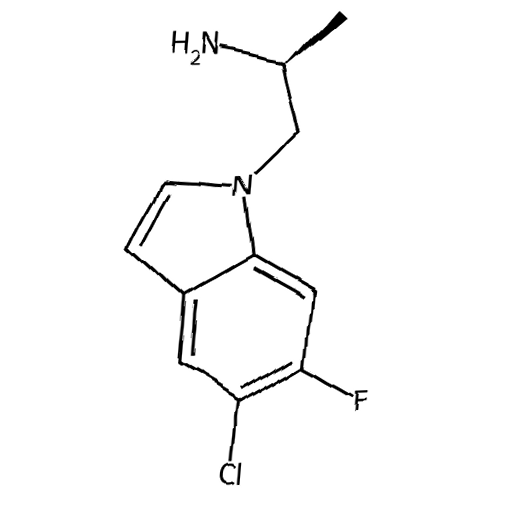 C[C@H](N)Cn1ccc2cc(Cl)c(F)cc21